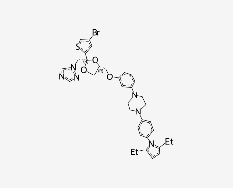 CCc1ccc(CC)n1-c1ccc(N2CCN(c3cccc(OC[C@@H]4CO[C@@](Cn5cncn5)(c5cc(Br)cs5)O4)c3)CC2)cc1